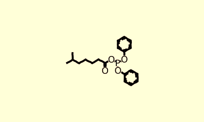 CC(C)CCCCC(=O)OP(Oc1ccccc1)Oc1ccccc1